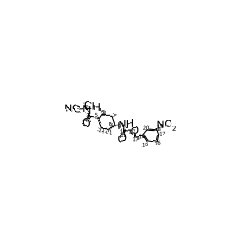 CN(C#N)C(=O)[C@H]1CC[C@H](NC(=O)OCc2cccc([N+](=O)[O-])c2)CC1